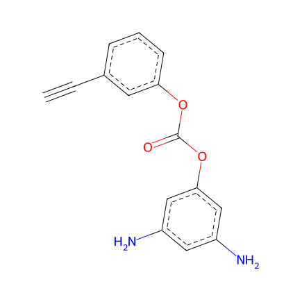 C#Cc1cccc(OC(=O)Oc2cc(N)cc(N)c2)c1